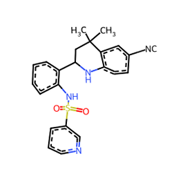 [C-]#[N+]c1ccc2c(c1)C(C)(C)CC(c1ccccc1NS(=O)(=O)c1cccnc1)N2